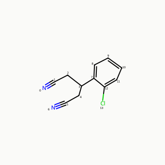 N#CCC(CC#N)c1ccccc1Cl